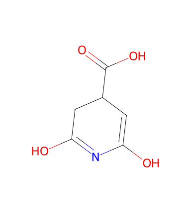 O=C(O)C1C=C(O)N=C(O)C1